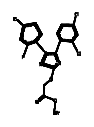 CCCOC(=O)COc1nc(-c2ccc(Cl)cc2Cl)n(-c2ccc(Cl)cc2F)n1